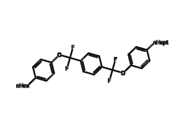 CCCCCCCc1ccc(OC(F)(F)c2ccc(C(F)(F)Oc3ccc(CCCCCC)cc3)cc2)cc1